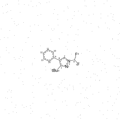 CC(C)(C)c1nn(C(F)F)cc1-c1ccccc1